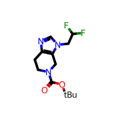 CC(C)(C)OC(=O)N1CCc2ncn(CC(F)F)c2C1